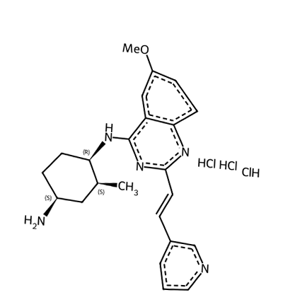 COc1ccc2nc(C=Cc3cccnc3)nc(N[C@@H]3CC[C@H](N)C[C@@H]3C)c2c1.Cl.Cl.Cl